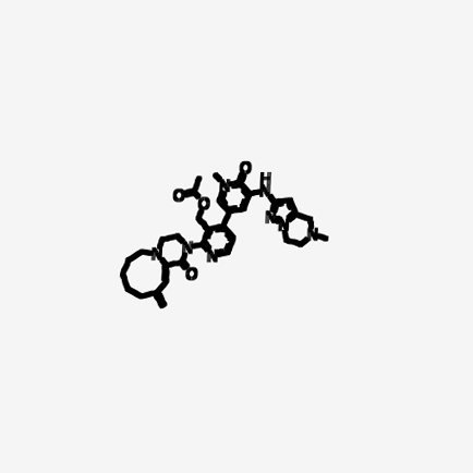 C=C1/C=C2/C(=O)N(c3nccc(-c4cc(Nc5cc6n(n5)CCN(C)C6)c(=O)n(C)c4)c3COC(C)=O)CCN2CCCCC1